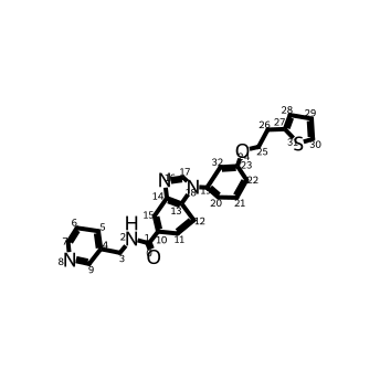 O=C(NCc1cccnc1)c1ccc2c(c1)ncn2-c1cccc(OCCc2cccs2)c1